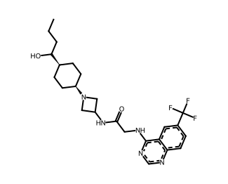 CCCC(O)[C@H]1CC[C@@H](N2CC(NC(=O)CNc3ncnc4ccc(C(F)(F)F)cc34)C2)CC1